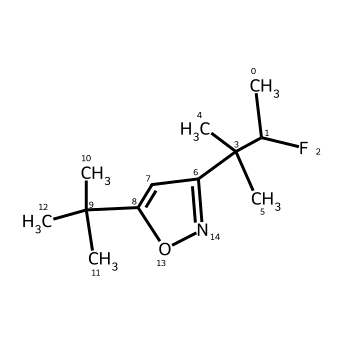 CC(F)C(C)(C)c1cc(C(C)(C)C)on1